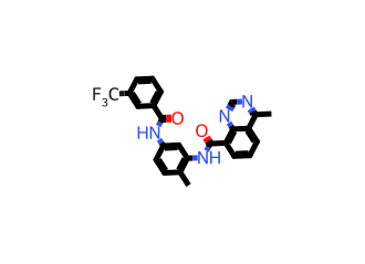 Cc1ccc(NC(=O)c2cccc(C(F)(F)F)c2)cc1NC(=O)c1cccc2c(C)ncnc12